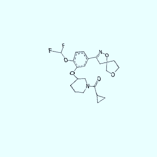 O=C(C1CC1)N1CCCC(Oc2cc(C3=NOC4(CCOC4)C3)ccc2OC(F)F)C1